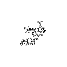 CC(C)(F)CNS(=O)(=O)c1c2c(cc3c(F)nc(C4CC4)cc13)CC(Nc1ccc(C3(O)COC3)nc1)C2